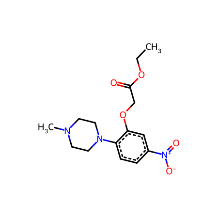 CCOC(=O)COc1cc([N+](=O)[O-])ccc1N1CCN(C)CC1